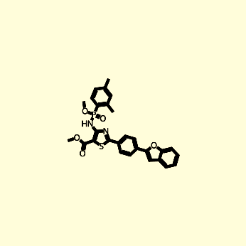 COC(=O)c1sc(-c2ccc(-c3cc4ccccc4o3)cc2)nc1NP(=O)(OC)c1ccc(C)cc1C